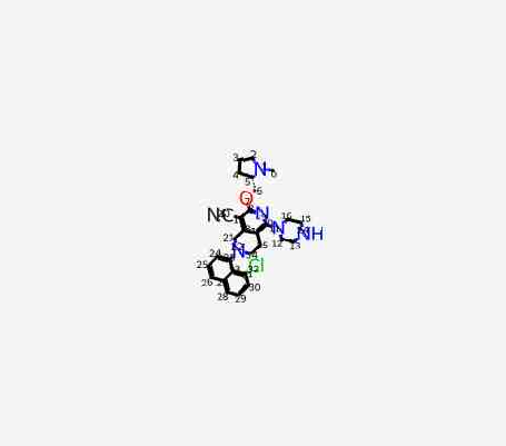 CN1CCC[C@H]1COc1nc(N2CCNCC2)c2c(c1C#N)CN(c1cccc3cccc(Cl)c13)CC2